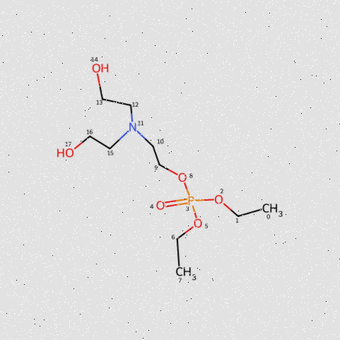 CCOP(=O)(OCC)OCCN(CCO)CCO